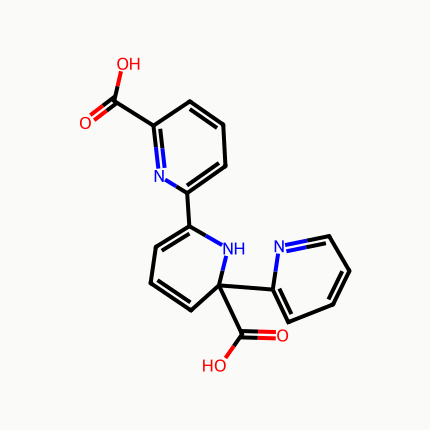 O=C(O)c1cccc(C2=CC=CC(C(=O)O)(c3ccccn3)N2)n1